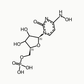 O=c1nc(NO)ccn1[C@H]1O[C@@H](COP(=O)(O)O)C(O)C1O